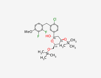 COc1ccc(Cc2cc([C@@]3(O)C[C@@H](O[Si](C)(C)C)C[C@@H](CO[Si](C)(C)C)O3)ccc2Cl)c(F)c1F